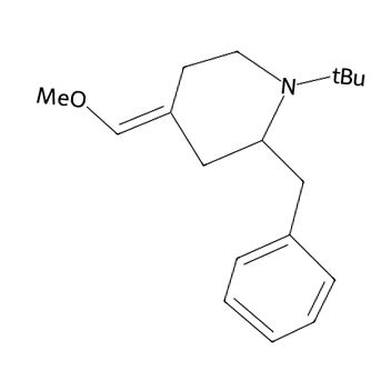 COC=C1CCN(C(C)(C)C)C(Cc2ccccc2)C1